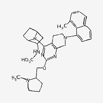 Cc1cccc2cccc(N3CCc4c(nc(OCC5CCCN5C)nc4N4C5CCC4C(NC(=O)O)C5)C3)c12